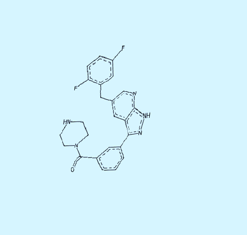 O=C(c1cccc(-c2n[nH]c3ncc(Cc4cc(F)ccc4F)cc23)c1)N1CCNCC1